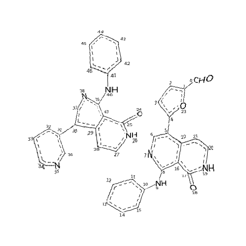 O=Cc1ccc(-c2cnc(Nc3ccccc3)c3c(=O)[nH]ccc23)o1.O=c1[nH]ccc2c(-c3cccnc3)cnc(Nc3ccccc3)c12